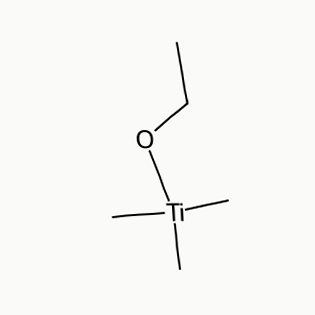 CC[O][Ti]([CH3])([CH3])[CH3]